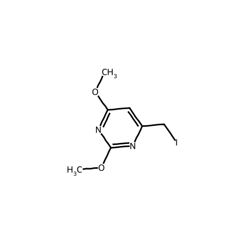 COc1cc(CI)nc(OC)n1